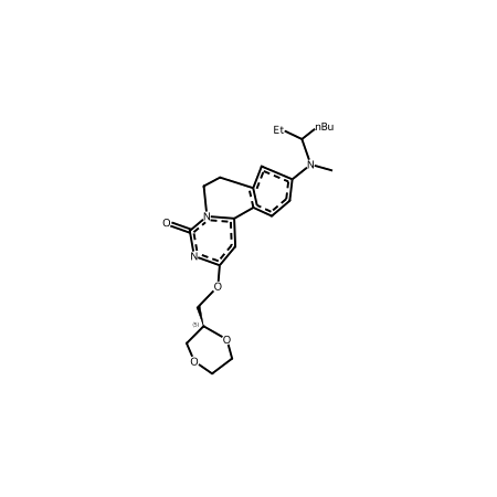 CCCCC(CC)N(C)c1ccc2c(c1)CCn1c-2cc(OC[C@@H]2COCCO2)nc1=O